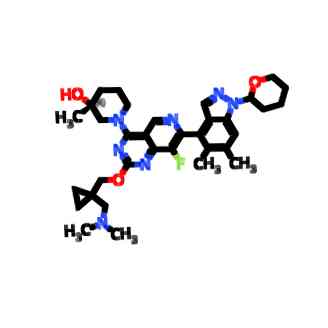 Cc1cc2c(cnn2C2CCCCO2)c(-c2ncc3c(N4CCC[C@@](C)(O)C4)nc(OCC4(CN(C)C)CC4)nc3c2F)c1C